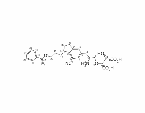 N#Cc1cc(C[C@H](N)COC(C(=O)O)C(O)C(=O)O)cc2c1N(CCCOC(=O)c1ccccc1)CC2